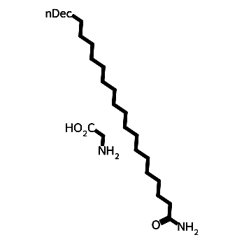 CCCCCCCCCCCCCCCCCCCCCCCCCCCC(N)=O.NCC(=O)O